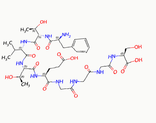 CC(C)[C@H](NC(=O)[C@@H](NC(=O)[C@@H](N)Cc1ccccc1)[C@@H](C)O)C(=O)N[C@H](C(=O)N[C@@H](CCC(=O)O)C(=O)NCC(=O)NCC(=O)NCC(=O)N[C@@H](CO)C(=O)O)[C@@H](C)O